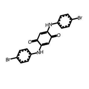 O=C1C=C(Nc2ccc(Br)cc2)C(=O)C=C1Nc1ccc(Br)cc1